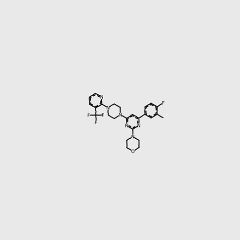 Cc1cc(-c2cc(N3CCN(c4ncccc4C(F)(F)F)CC3)nc(N3CCOCC3)n2)ccc1F